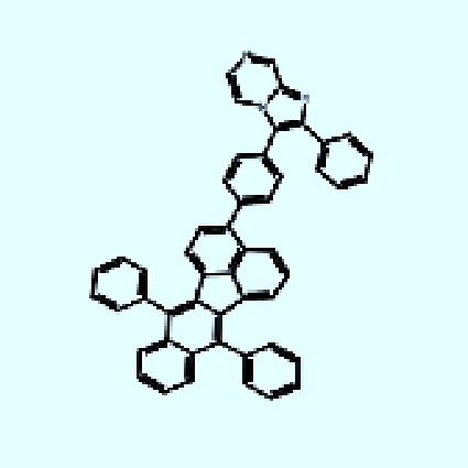 c1ccc(-c2nc3cnccn3c2-c2ccc(-c3ccc4c5c(cccc35)-c3c-4c(-c4ccccc4)c4ccccc4c3-c3ccccc3)cc2)cc1